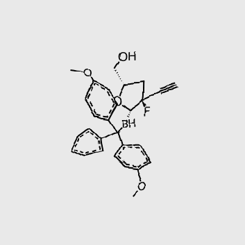 C#C[C@@]1(F)C[C@@H](CO)O[C@H]1BC(c1ccccc1)(c1ccc(OC)cc1)c1ccc(OC)cc1